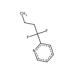 CCCC(F)(F)c1ccccn1